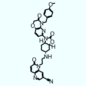 COc1ccc(CN2C(=O)COc3ccc(N4C(=O)O[C@@H]5C[C@H](NCCn6c(=O)ccc7ncc(C#N)cc76)CC[C@H]54)nc32)cc1